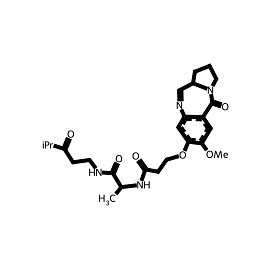 COc1cc2c(cc1OCCC(=O)NC(C)C(=O)NCCC(=O)C(C)C)N=CC1CCCN1C2=O